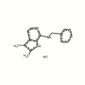 Cc1[nH]c2c(NCc3ccccc3)nccc2c1C.Cl